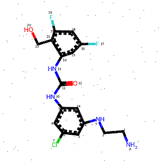 NCCNc1cc(Cl)cc(NC(=O)Nc2cc(F)cc(F)c2CO)c1